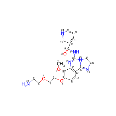 COc1c(OCCOCCN)ccc2c1N=C(NC(=O)c1cccnc1)N1CCN=C21